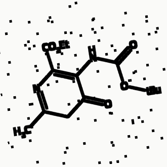 CCOC(=O)C1=C(NC(=O)OC(C)(C)C)C(=O)CC(C)=N1